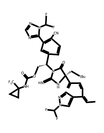 C=C(/C=C\C(=C/C)c1cnn(C(F)F)c1)[C@@]1(CC(C)(C)C)NC(=N)N([C@H](COC(=O)NC2(C(F)(F)F)CC2)c2ccc(C#N)c(-c3ncnn3C(F)F)c2)C1=O